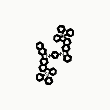 c1ccc([Si]2(c3ccccc3)c3ccccc3-c3c2ccc2cc4c5ccccc5n(-c5ccc(-n6c7cc8ccccc8cc7c7cc8ccc9c(c8cc76)-c6ccccc6[Si]9(c6ccccc6)c6ccccc6)cc5)c4cc32)cc1